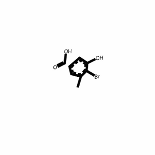 Cc1cccc(O)c1Br.O=CO